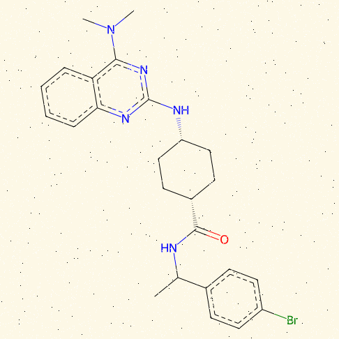 CC(NC(=O)[C@H]1CC[C@@H](Nc2nc(N(C)C)c3ccccc3n2)CC1)c1ccc(Br)cc1